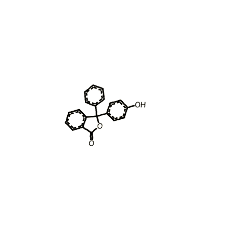 O=C1OC(c2ccccc2)(c2ccc(O)cc2)c2ccccc21